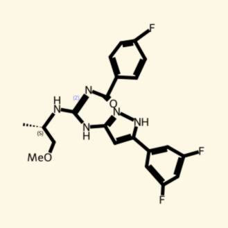 COC[C@H](C)N/C(=N/C(=O)c1ccc(F)cc1)Nc1cc(-c2cc(F)cc(F)c2)[nH]n1